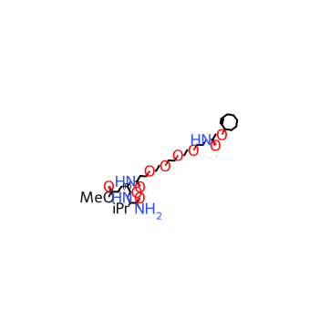 COC(=O)CC[C@@H](NC(=O)CCOCCOCCOCCOCCNC(=O)COC1C#CCCCCC1)C(=O)NC(C(N)=O)C(C)C